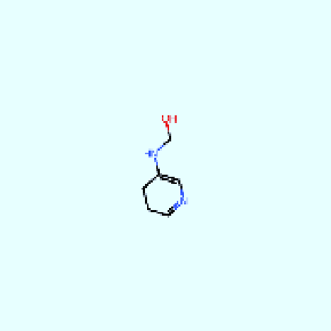 OCNC1=CN=CCC1